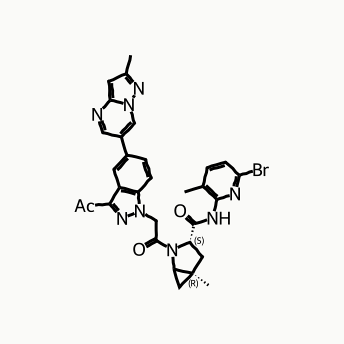 CC(=O)c1nn(CC(=O)N2C3C[C@]3(C)C[C@H]2C(=O)Nc2nc(Br)ccc2C)c2ccc(-c3cnc4cc(C)nn4c3)cc12